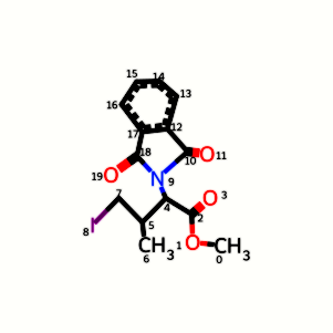 COC(=O)C(C(C)CI)N1C(=O)c2ccccc2C1=O